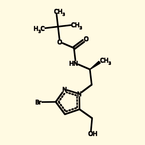 C[C@@H](Cn1nc(Br)cc1CO)NC(=O)OC(C)(C)C